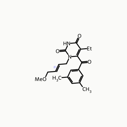 CCc1c(C(=O)c2cc(C)cc(C)c2)n(C/C=C/COC)c(=O)[nH]c1=O